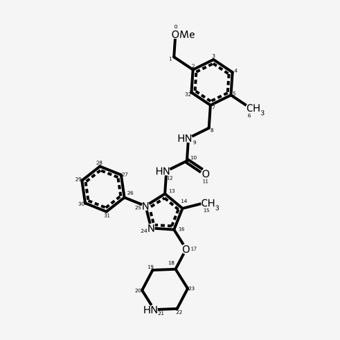 COCc1ccc(C)c(CNC(=O)Nc2c(C)c(OC3CCNCC3)nn2-c2ccccc2)c1